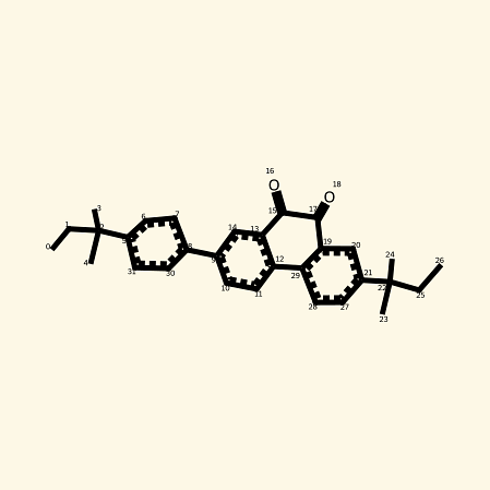 CCC(C)(C)c1ccc(-c2ccc3c(c2)C(=O)C(=O)c2cc(C(C)(C)CC)ccc2-3)cc1